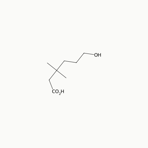 CC(C)(CCCO)CC(=O)O